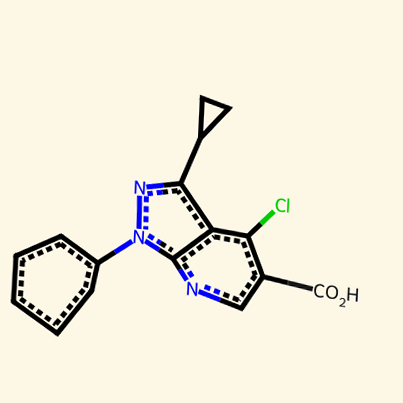 O=C(O)c1cnc2c(c(C3CC3)nn2-c2ccccc2)c1Cl